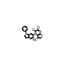 N#Cc1csc2nc(Cl)c(=O)n(-c3ccc4ccn(-c5ccccc5)c4c3)c12